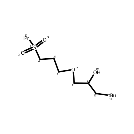 CC(C)S(=O)(=O)CCCOCC(O)CC(C)(C)C